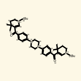 CC1(C)CCN(C(C)(C)C)C=C1C(=O)c1ccc(N2CCN(c3ccc(C(=O)C4=CN(C(C)(C)C)CCC4(C)C)cc3)CC2)cc1